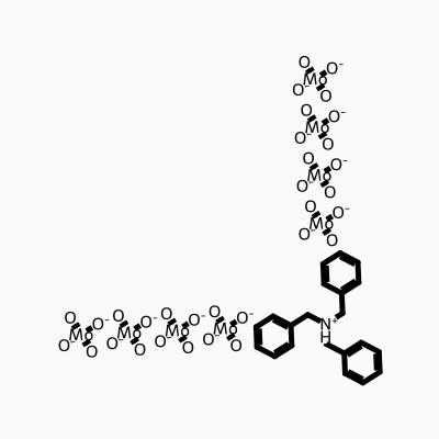 [O]=[Mo](=[O])([O-])[O-].[O]=[Mo](=[O])([O-])[O-].[O]=[Mo](=[O])([O-])[O-].[O]=[Mo](=[O])([O-])[O-].[O]=[Mo](=[O])([O-])[O-].[O]=[Mo](=[O])([O-])[O-].[O]=[Mo](=[O])([O-])[O-].[O]=[Mo](=[O])([O-])[O-].c1ccc(C[NH+](Cc2ccccc2)Cc2ccccc2)cc1